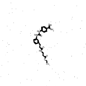 CCOC(=O)CCNC(=O)CCc1cccc(NC(=O)Nc2ccc(C(=N)N)cc2)c1